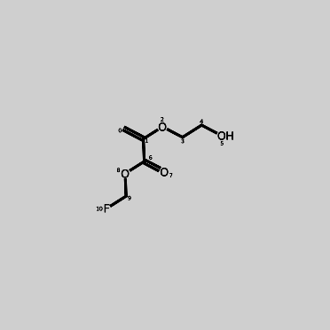 C=C(OCCO)C(=O)OCF